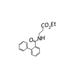 CCOC(=O)CCNC(=O)c1ccccc1-c1ccccc1